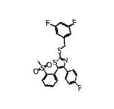 CS(=O)(=O)c1ccccc1-c1sc(SCc2cc(F)cc(F)c2)nc1-c1ccc(F)cc1